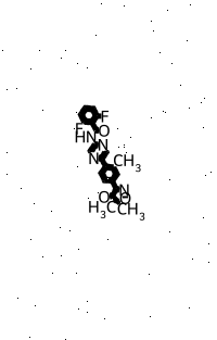 Cc1cc(C2=NOC(C)(C)C2=O)ccc1-c1cnc(NC(=O)c2c(F)cccc2F)cn1